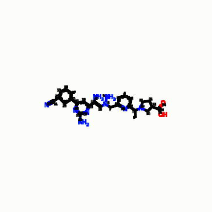 CC(c1cccc(CN(N)/C=C(\N)c2cc(-c3cccc(C#N)c3)nc(N)n2)n1)N1CCC(C(=O)O)C1